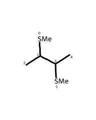 CSC(C)C(C)SC